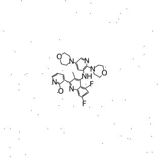 COc1ncccc1-c1nc2cc(F)cc(F)c2c(Nc2cc(N3CCOCC3)cnc2N2CCOCC2)c1C